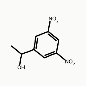 CC(O)c1cc([N+](=O)[O-])cc([N+](=O)[O-])c1